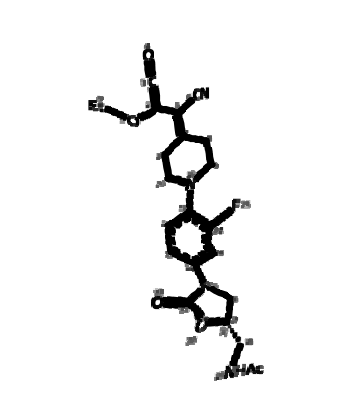 CCOC(=C=O)C(C#N)=C1CCN(c2ccc(N3C[C@H](CNC(C)=O)OC3=O)cc2F)CC1